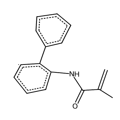 C=C(C)C(=O)Nc1ccc[c]c1-c1ccccc1